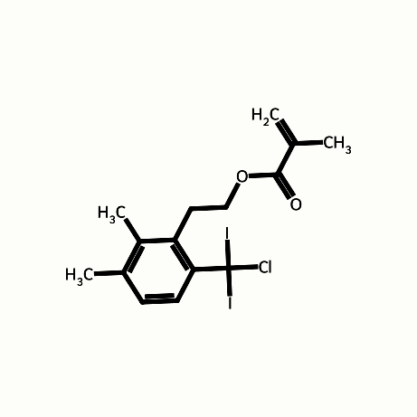 C=C(C)C(=O)OCCc1c(C(Cl)(I)I)ccc(C)c1C